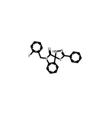 O=C1N(Cc2ccccc2F)c2ccccc2C12NN=C(c1ccccc1)S2